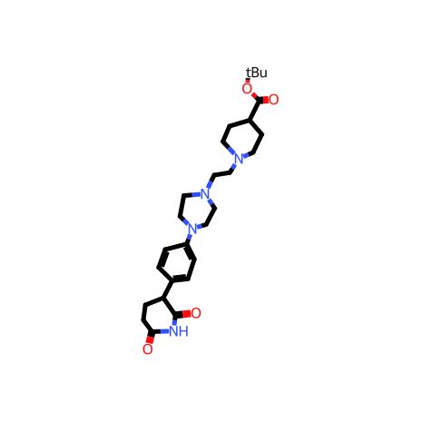 CC(C)(C)OC(=O)C1CCN(CCN2CCN(c3ccc(C4CCC(=O)NC4=O)cc3)CC2)CC1